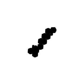 c1cc(-c2cnc3c4ccccc4c4ccccc4c3n2)cc(-c2cccc3c(-c4cccc5c(-c6cccc7c6sc6ccccc67)cccc45)cccc23)c1